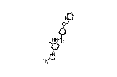 CN(C)C1CCN(c2ccc(NC(=O)c3ccc(OCc4ccccn4)cc3)c(F)c2)C1